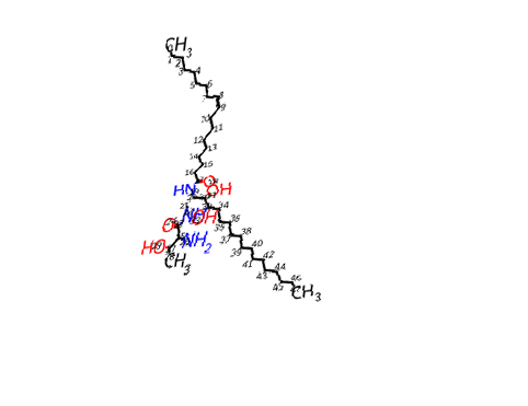 CCCCCCCC/C=C\CCCCCCCC(=O)N[C@@H](CNC(=O)C(N)C(C)O)[C@H](O)[C@H](O)CCCCCCCCCCCCCC